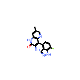 Cc1cnc2c(-c3ccc(F)c4[nH]ncc34)c(N)c(=O)[nH]c2c1